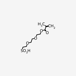 C=C(C)C(=O)OCCOCCOCCS(=O)(=O)O